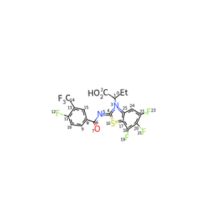 CCC(C(=O)O)n1c(=NC(=O)c2ccc(F)c(C(F)(F)F)c2)sc2c(F)c(F)c(F)cc21